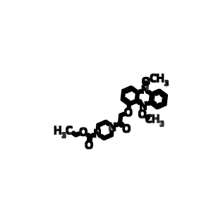 CCOC(=O)N1CCN(C(=O)COC2=CC=CC3C2=[N+](OC)c2ccccc2N3OC)CC1